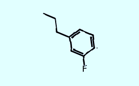 CCCc1cc[c]c(F)c1